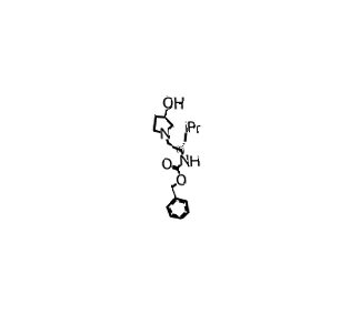 CC(C)C[C@@H](CN1CCC(O)C1)NC(=O)OCc1ccccc1